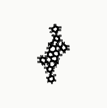 N#Cc1cc(-c2ccccc2)ccc1N(C1=CCC2C=CC3c4c(ccc1c42)C=CC3N(c1ccccn1)c1ccc(-c2ccccc2)cc1C#N)c1ccccn1